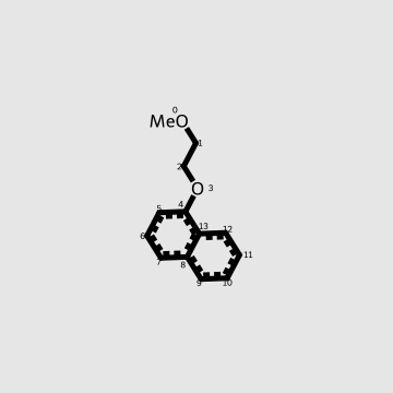 COCCOc1cccc2ccccc12